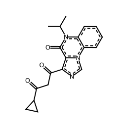 CC(C)n1c(=O)c2c(C(=O)CC(=O)C3CC3)ncn2c2ccccc21